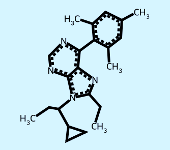 CCc1nc2c(-c3c(C)cc(C)cc3C)ncnc2n1C(CC)C1CC1